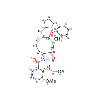 COc1ccnc(C(=O)N[C@H]2CCO[C@H](CC3CCCC3)[C@@H](Oc3ccccc3)[C@H](C)OC2=O)c1OCOC(C)=O